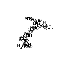 CCOCc1nc2c(NC(=O)OCc3ccc(NC(=O)[C@H](CCCNC(N)O)NC(=O)C4(C(=O)NCCCN=[N+]=[N-])CCC4)cc3)nc3ccccc3c2n1CC(C)(C)O